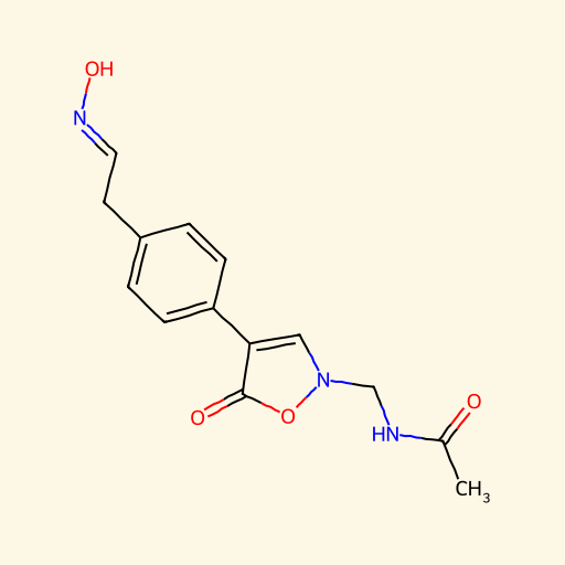 CC(=O)NCn1cc(-c2ccc(CC=NO)cc2)c(=O)o1